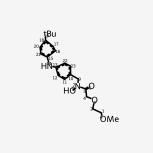 COCCOCC(=O)N(O)Cc1ccc(Nc2ccc(C(C)(C)C)cc2)cc1